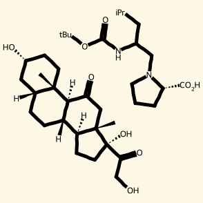 CC(C)CC(CN1CCC[C@H]1C(=O)O)NC(=O)OC(C)(C)C.C[C@]12CC[C@@H](O)C[C@H]1CC[C@@H]1[C@@H]2C(=O)C[C@@]2(C)[C@H]1CC[C@]2(O)C(=O)CO